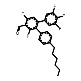 CCCCCCc1ccc(-c2c(-c3cc(F)c(F)c(F)c3)cc(F)c(C=O)c2F)cc1